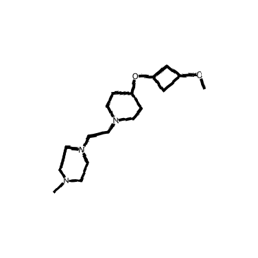 COC1CC(OC2CCN(CCN3CCN(C)CC3)CC2)C1